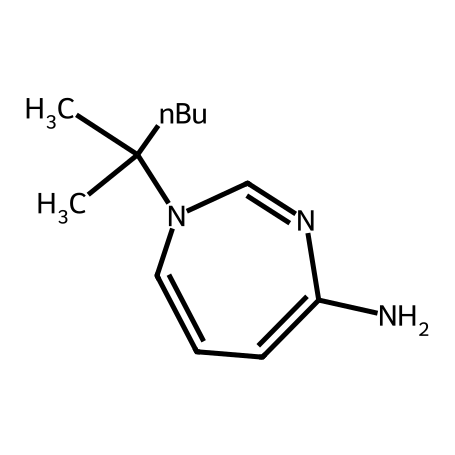 CCCCC(C)(C)N1C=CC=C(N)N=C1